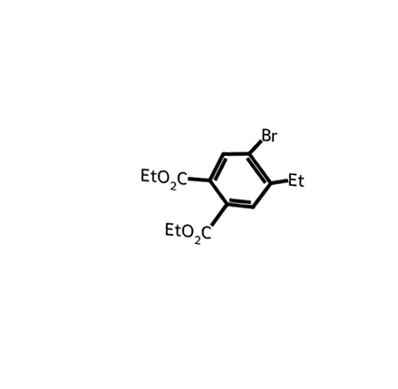 CCOC(=O)c1cc(Br)c(CC)cc1C(=O)OCC